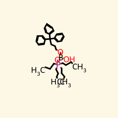 CCCCP(CCCC)(CCCC)(CCCC)OB(O)OCCCC(c1ccccc1)(c1ccccc1)c1ccccc1